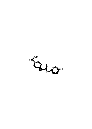 O=C(Nc1ccc(Cl)nn1)C1CC12CCN(C(=O)O)CC2